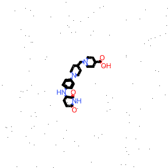 O=C1CCC(Nc2ccc(N3CCC(CN4CCC(C(=O)O)CC4)CC3)cc2)C(=O)N1